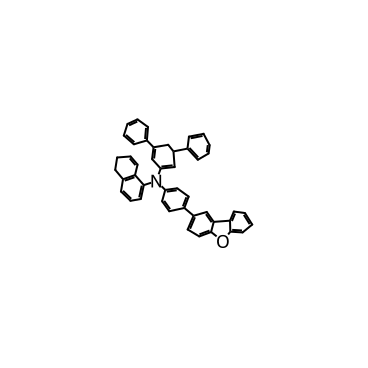 C1=Cc2c(cccc2N(C2=CC(c3ccccc3)CC(c3ccccc3)=C2)c2ccc(-c3ccc4oc5ccccc5c4c3)cc2)CC1